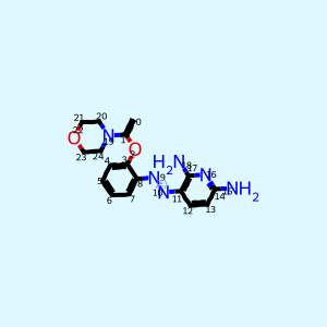 C=C(Oc1ccccc1/N=N/c1ccc(N)nc1N)N1CCOCC1